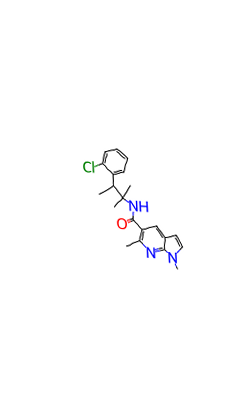 Cc1nc2c(ccn2C)cc1C(=O)NC(C)(C)C(C)c1ccccc1Cl